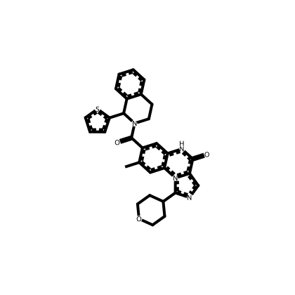 Cc1cc2c(cc1C(=O)N1CCc3ccccc3C1c1cccs1)[nH]c(=O)c1cnc(C3CCOCC3)n12